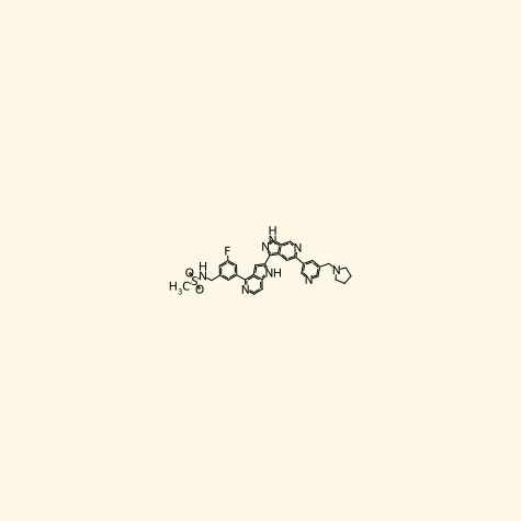 CS(=O)(=O)NCc1cc(F)cc(-c2nccc3[nH]c(-c4n[nH]c5cnc(-c6cncc(CN7CCCC7)c6)cc45)cc23)c1